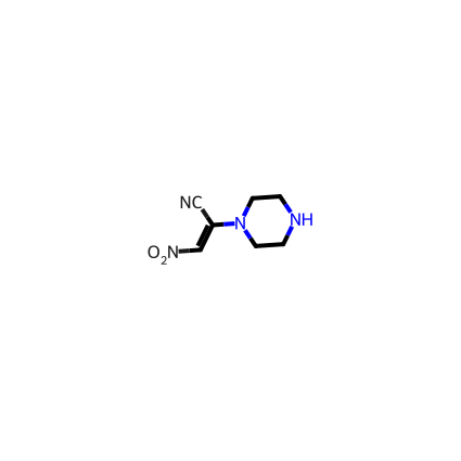 N#CC(=C[N+](=O)[O-])N1CCNCC1